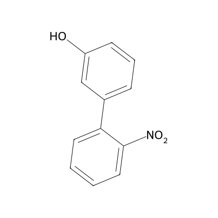 O=[N+]([O-])c1ccccc1-c1cccc(O)c1